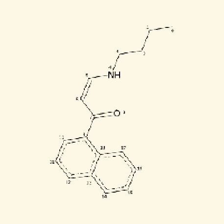 CCCCN/C=C\C(=O)c1cccc2ccccc12